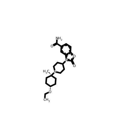 CCO[C@H]1CC[C@](C)(N2CCC(n3c(=O)oc4ccc(C(N)=O)cc43)CC2)CC1